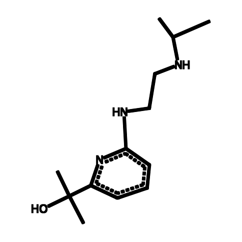 CC(C)NCCNc1cccc(C(C)(C)O)n1